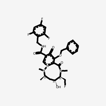 C[C@@H]1C[C@@H](O)[C@H](CF)N(C)C(=O)c2c(OCc3ccccc3)c(=O)c(C(=O)NCc3c(F)cc(F)cc3F)cn2N1C